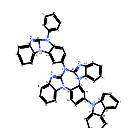 c1ccc(-n2c3ccc(-n4c5nc6ccccc6n5c5ccc(-n6c7ccccc7c7ccccc76)cc5n5c6ccccc6nc45)cc3n3c4ccccc4nc23)cc1